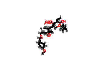 C=C[C@@H](CO)[C@@H](O)[C@H](CO[Si](C)(C)C(C)(C)C)[C@H](C)C1(C)O[C@@H]1[C@@H](C)COCc1ccc(OC)cc1